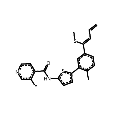 C=C/C=C(\SC)c1ccc(C)c(-c2ccc(NC(=O)c3ccncc3F)s2)c1